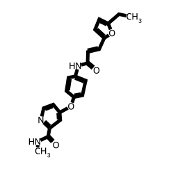 CCc1ccc(C=CC(=O)Nc2ccc(Oc3ccnc(C(=O)NC)c3)cc2)o1